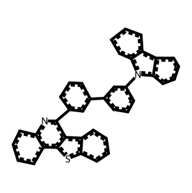 c1cc(-c2cccc(-n3c4ccccc4c4ccccc43)c2)cc(-c2nc3ccccc3c3sc4ccccc4c23)c1